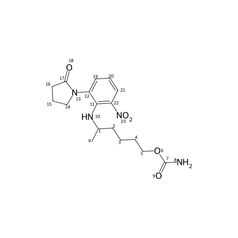 CC(CCCCOC(N)=O)Nc1c(N2CCCC2=O)cccc1[N+](=O)[O-]